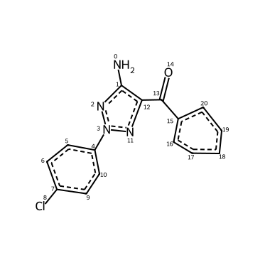 Nc1nn(-c2ccc(Cl)cc2)nc1C(=O)c1ccccc1